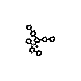 c1ccc(-c2ccc(-c3cc(-c4ccc(-c5ccccc5)cc4)cc(C4Nc5c(ccnc5-c5ccccc5)N4c4ccccc4)c3)cc2)cc1